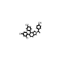 CC(c1ccc(C#N)cc1)N1CC2CCC(c3ccc(Cl)cc3Cl)C(c3ccc(Cl)cc3)C2C1